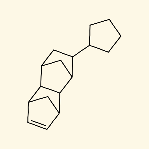 C1=CC2CC1C1C3CC(C4CCCC4)C(C3)C21